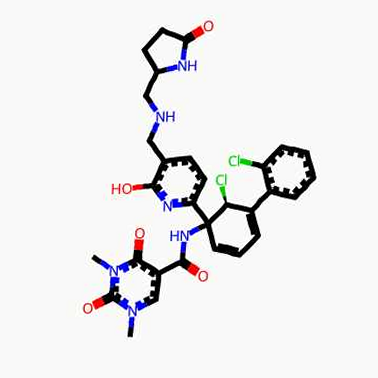 Cn1cc(C(=O)NC2(c3ccc(CNCC4CCC(=O)N4)c(O)n3)C=CC=C(c3ccccc3Cl)[C@@H]2Cl)c(=O)n(C)c1=O